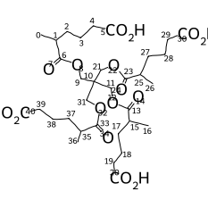 CC(CCCC(=O)O)C(=O)OCC(COC(=O)C(C)CCCC(=O)O)(COC(=O)C(C)CCCC(=O)O)COC(=O)C(C)CCCC(=O)O